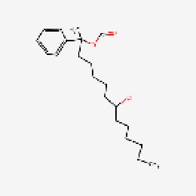 CCCCCCC(O)CCCCCC(C)(OC=O)c1ccccc1